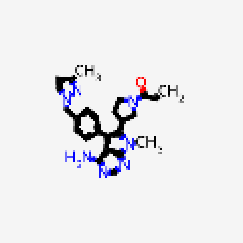 C=CC(=O)N1CCC(c2c(-c3ccc(Cn4ccc(C)n4)cc3)c3c(N)ncnc3n2C)C1